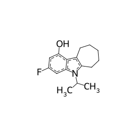 CC(C)n1c2c(c3c(O)cc(F)cc31)CCCCC2